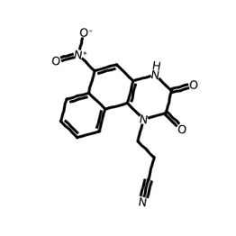 N#CCCn1c(=O)c(=O)[nH]c2cc([N+](=O)[O-])c3ccccc3c21